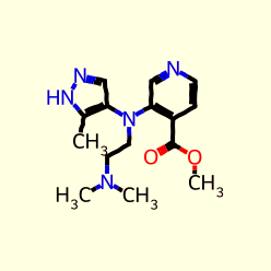 COC(=O)c1ccncc1N(CCN(C)C)c1cn[nH]c1C